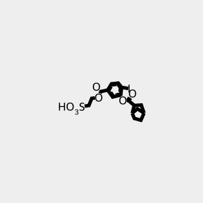 O=C(OCCS(=O)(=O)O)c1ccc(I)c(OC(=O)C2CC3CCC2C3)c1